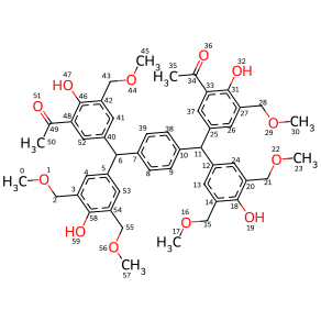 COCc1cc(C(c2ccc(C(c3cc(COC)c(O)c(COC)c3)c3cc(COC)c(O)c(C(C)=O)c3)cc2)c2cc(COC)c(O)c(C(C)=O)c2)cc(COC)c1O